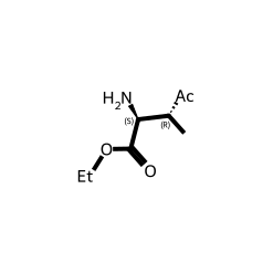 CCOC(=O)[C@@H](N)[C@@H](C)C(C)=O